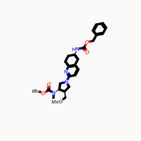 COC[C@@H]1CN(c2ccc3c(n2)CC[C@H](NC(=O)OCc2ccccc2)C3)C[C@H]1N(C)C(=O)OC(C)(C)C